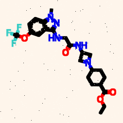 CCOC(=O)C1CCC(N2CC(NC(=O)CNc3nn(C)c4ccc(OC(F)(F)F)cc34)C2)CC1